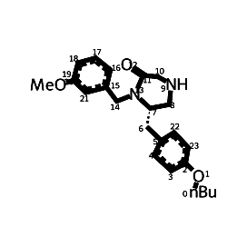 CCCCOc1ccc(C[C@H]2CNCC(=O)N2Cc2cccc(OC)c2)cc1